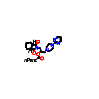 CCCCCC(=O)OC(CN1CCN(c2ncccn2)CC1)CN1C(=O)[C@H]2CC=CC[C@H]2C1=O